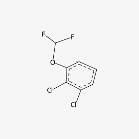 FC(F)Oc1[c]ccc(Cl)c1Cl